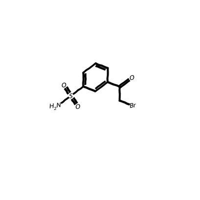 NS(=O)(=O)c1cccc(C(=O)CBr)c1